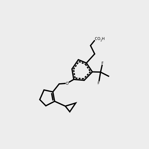 CC(F)(F)c1cc(OCC2=C(C3CC3)CCC2)ccc1CCC(=O)O